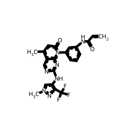 C=CC(=O)Nc1cccc(-n2c(=O)cc(C)c3cnc(Nc4cn(C)nc4C(F)(F)F)nc32)c1